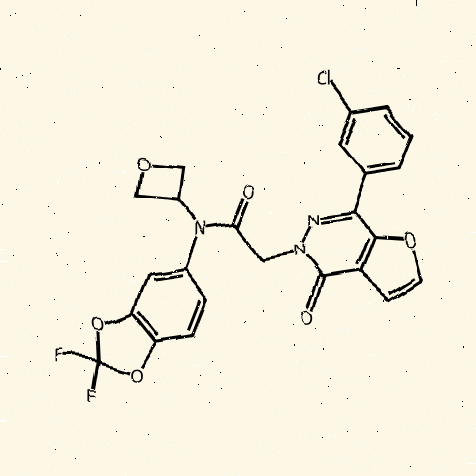 O=C(Cn1nc(-c2cccc(Cl)c2)c2occc2c1=O)N(c1ccc2c(c1)OC(F)(F)O2)C1COC1